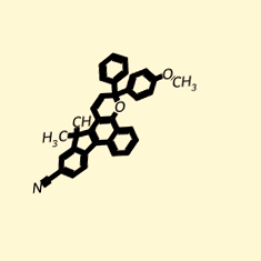 COc1ccc(C2(c3ccccc3)C=Cc3c4c(c5ccccc5c3O2)-c2ccc(C#N)cc2C4(C)C)cc1